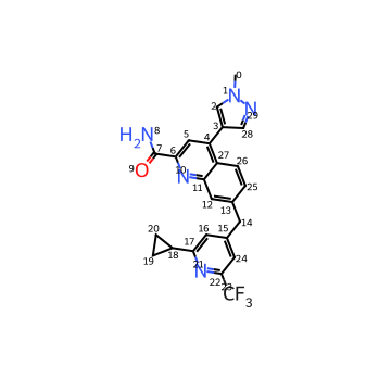 Cn1cc(-c2cc(C(N)=O)nc3cc(Cc4cc(C5CC5)nc(C(F)(F)F)c4)ccc23)cn1